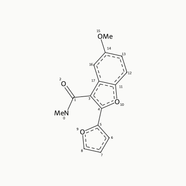 CNC(=O)c1c(-c2ccco2)oc2ccc(OC)cc12